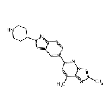 Cc1cn2nc(-c3ccc4nn(C5CCNCC5)cc4c3)cc(C)c2n1